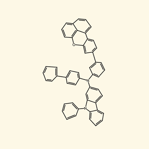 c1ccc(-c2ccc(N(c3cccc(-c4ccc5c(c4)Oc4cccc6cccc-5c46)c3)c3ccc4c5ccccc5n(-c5ccccc5)c4c3)cc2)cc1